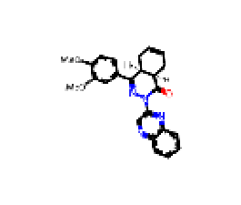 COc1ccc(C2=NN(c3cnc4ccccc4n3)C(=O)[C@@H]3CC=CC[C@H]23)cc1OC